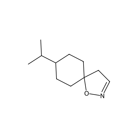 CC(C)C1CCC2(CC=NO2)CC1